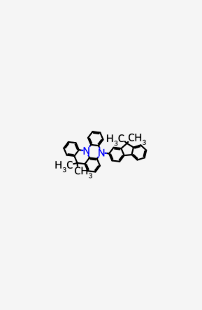 CC1(C)c2ccccc2-c2ccc(N3c4ccccc4N4c5ccccc5C(C)(C)c5cccc3c54)cc21